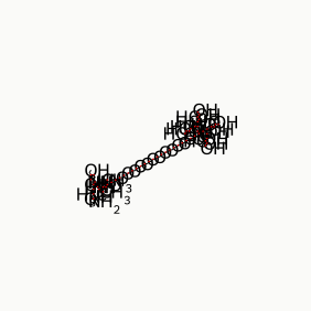 CN[C@@H](CCC(=O)NCCOCCOCCOCCOCCOCCOCCOCCOCCOCCOCCOCCOCCC(=O)N(CCN(C[C@H](O)[C@@H](O)[C@H](O)[C@H](O)CO)C[C@H](O)[C@@H](O)[C@H](O)[C@H](O)CO)CCN(C[C@H](O)[C@@H](O)[C@H](O)[C@H](O)CO)C[C@H](O)[C@@H](O)[C@H](O)[C@H](O)CO)C(=O)N[C@H](C(=O)N[C@@H](CCCNC(N)=O)C(=O)Nc1ccc(CO)cc1)C(C)C